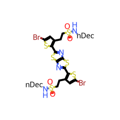 CCCCCCCCCCNS(=O)(=O)CCc1cc(Br)sc1-c1nc2sc(-c3sc(Br)cc3CCS(=O)(=O)NCCCCCCCCCC)nc2s1